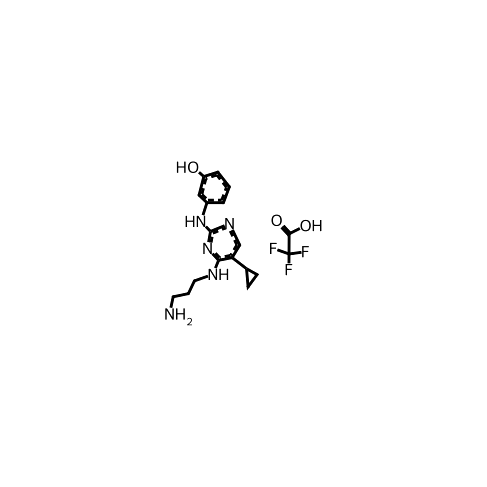 NCCCNc1nc(Nc2cccc(O)c2)ncc1C1CC1.O=C(O)C(F)(F)F